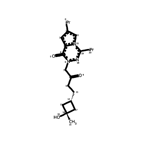 CC(C)c1cc2c(=O)n(CC(=O)CC[C@H]3C[C@@](C)(O)C3)nc(C(C)C)n2c1